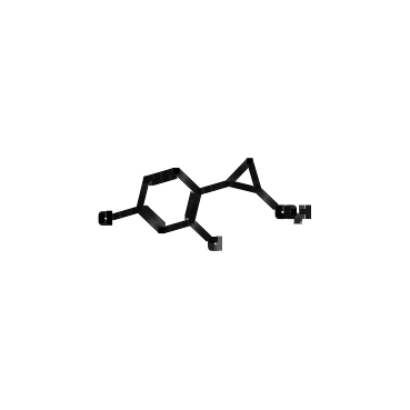 O=C(O)C1CC1c1ccc(Cl)cc1Cl